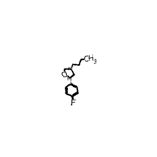 CCCC[C@@H]1CO[C@@H](c2ccc(F)cc2)C1